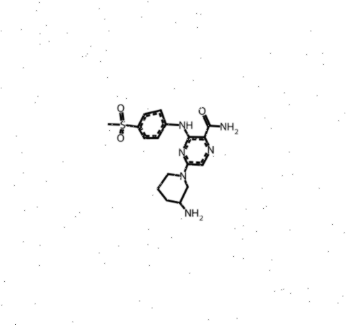 CS(=O)(=O)c1ccc(Nc2nc(N3CCCC(N)C3)cnc2C(N)=O)cc1